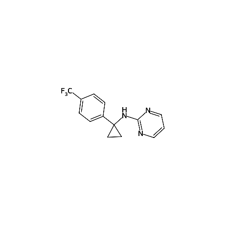 FC(F)(F)c1ccc(C2(Nc3ncccn3)CC2)cc1